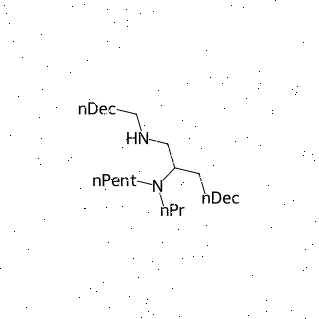 CCCCCCCCCCCNCC(CCCCCCCCCCC)N(CCC)CCCCC